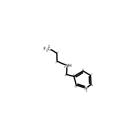 FC(F)(F)CCNCc1cccnc1